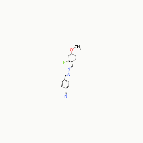 COc1ccc(/C=N/N=C/c2ccc(C#N)cc2)c(F)c1